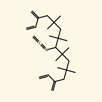 C=C=NC(C(C)(C)CC(C)(C)CC(=C)C=C)C(C)(C)CC(C)(C)CC(=C)C=C